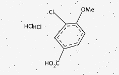 COc1ccc(C(=O)O)cc1Cl.Cl.Cl